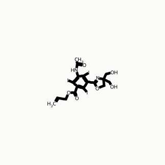 C=CCOC(=O)c1c(I)c(NC(C)=O)c(I)c(C2=NC(CO)(CO)CO2)c1I